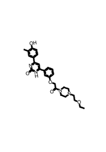 CCOCCN1CCN(C(=O)COc2cccc(-c3cc(-c4ccc(O)c(C)c4)nc(=O)[nH]3)c2)CC1